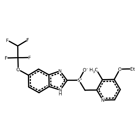 CCOc1ccnc(C[S+]([O-])c2nc3cc(OC(F)(F)C(F)F)ccc3[nH]2)c1C